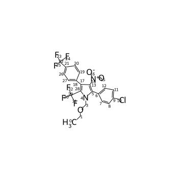 CCOCn1c(-c2ccc(Cl)cc2)c([N+](=O)[O-])c(-c2ccc(C(F)(F)F)cc2)c1C(F)(F)F